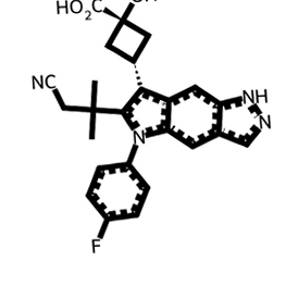 CC(C)(CC#N)c1c([C@H]2C[C@](O)(C(=O)O)C2)c2cc3[nH]ncc3cc2n1-c1ccc(F)cc1